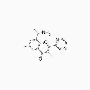 Cc1cc(C(C)N)c2oc(-c3cnccn3)c(C)c(=O)c2c1